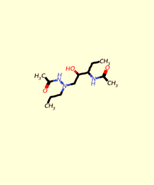 CCCN(CC(O)C(CC)NC(C)=O)NC(C)=O